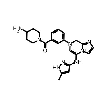 Cc1cc(NC2=CN(c3cccc(C(=O)N4CCC(N)CC4)c3)CC3=NC=C[N+]23)n[nH]1